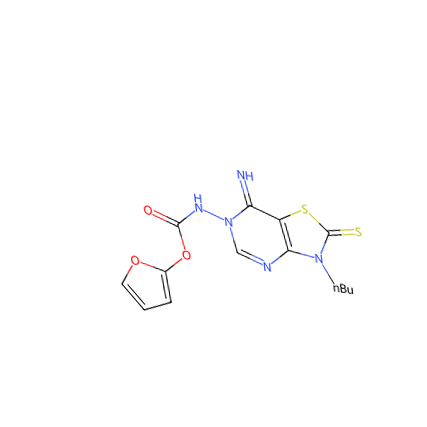 CCCCn1c(=S)sc2c(=N)n(NC(=O)Oc3ccco3)cnc21